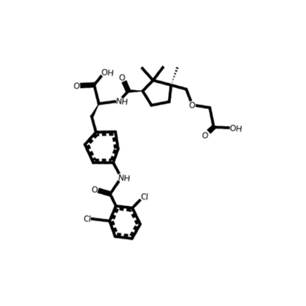 CC1(C)[C@H](C(=O)N[C@@H](Cc2ccc(NC(=O)c3c(Cl)cccc3Cl)cc2)C(=O)O)CC[C@]1(C)COCC(=O)O